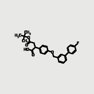 CC(C)(C)OC(=O)CC(C(=O)O)c1ccc(OCc2cccc(-c3ccc(F)cc3)c2)cc1